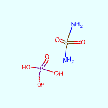 NS(N)(=O)=O.O=P(O)(O)O